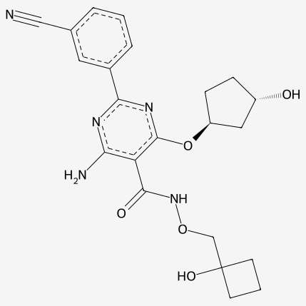 N#Cc1cccc(-c2nc(N)c(C(=O)NOCC3(O)CCC3)c(O[C@H]3CC[C@H](O)C3)n2)c1